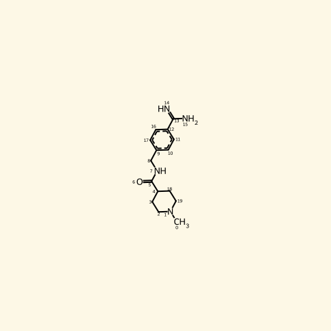 CN1CCC(C(=O)NCc2ccc(C(=N)N)cc2)CC1